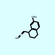 COc1ccc2c(c1)C(C=C=N)CCC2